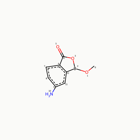 COB1OC(=O)c2ccc(N)cc21